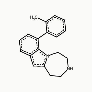 Cc1ccccc1-c1cccc2cc3n(c12)CCNCC3